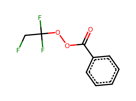 O=C(OOC(F)(F)CF)c1ccccc1